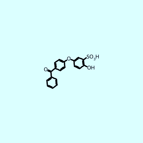 O=C(c1ccccc1)c1ccc(Oc2ccc(O)c(S(=O)(=O)O)c2)cc1